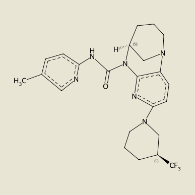 Cc1ccc(NC(=O)N2c3nc(N4CCC[C@H](C(F)(F)F)C4)ccc3N3CCC[C@H]2C3)nc1